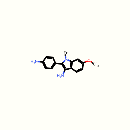 CCn1c(-c2ccc(N)cc2)c(N)c2ccc(OC(F)(F)F)cc21